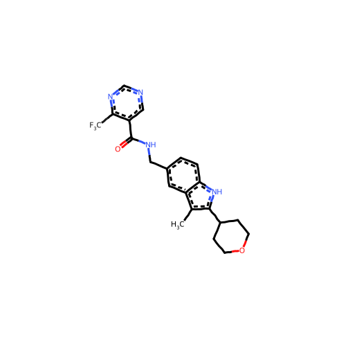 Cc1c(C2CCOCC2)[nH]c2ccc(CNC(=O)c3cncnc3C(F)(F)F)cc12